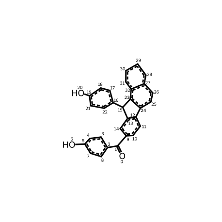 O=C(c1ccc(O)cc1)c1ccc2c(c1)C(c1ccc(O)cc1)c1c-2ccc2ccccc12